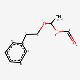 CC(OC=O)OCCc1ccccc1